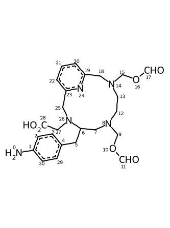 Nc1ccc(CC2CN(COC=O)CCN(COC=O)Cc3cccc(n3)CN2CC(=O)O)cc1